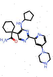 NC(=O)C1(c2cnc(-c3cc(N4CCNCC4)ccn3)nc2NC2CCCC2)CCCCC1